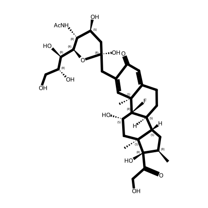 CC(=O)N[C@H]1[C@H]([C@H](O)[C@H](O)CO)O[C@](O)(CC2=C[C@@]3(C)C(=CC2=O)CC[C@H]2[C@@H]4C[C@@H](C)[C@](O)(C(=O)CO)[C@@]4(C)C[C@H](O)[C@@]23F)C[C@@H]1O